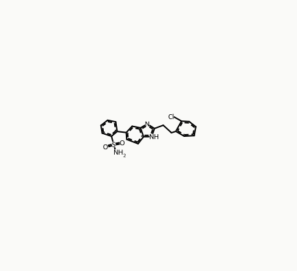 NS(=O)(=O)c1ccccc1-c1ccc2[nH]c(CCc3ccccc3Cl)nc2c1